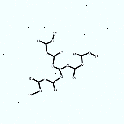 CCOC(CC)OC(CC)OP(OC(CC)OC(CC)OCC)OC(CC)OC(CC)OCC